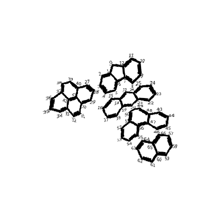 [CH]1c2ccccc2-c2ccccc21.[c]1c2ccccc2cc2ccccc12.[c]1ccc2ccc3cccc4ccc1c2c43.[c]1cccc2c1ccc1ccccc12.c1ccc2ccccc2c1